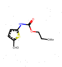 COCCOC(=O)Nc1ccc(C=O)s1